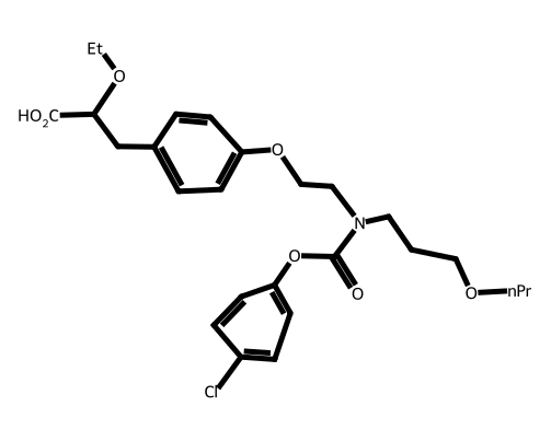 CCCOCCCN(CCOc1ccc(CC(OCC)C(=O)O)cc1)C(=O)Oc1ccc(Cl)cc1